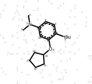 CN(C)c1ccc(C(C)(C)C)c(OC2CCCC2)c1